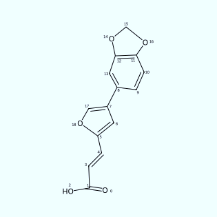 O=C(O)/C=C/c1cc(-c2ccc3c(c2)OCO3)co1